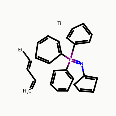 C1=CCC(N=P(c2ccccc2)(c2ccccc2)c2ccccc2)=C1.C=CC=CCC.[Ti]